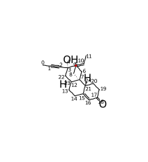 CC#C[C@@]1(O)CC[C@]2(C/C=C/C)[C@@H](CCC3=CC(=O)CC[C@H]32)C1